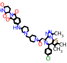 Cc1sc2c(c1C)C(c1ccc(Cl)cc1)=N[C@@H](CC(=O)N1CCC(CN3CCC[C@@H](Nc4ccc5c(c4)C(=O)N(C4CCC(=O)NC4=O)C5=O)C3)CC1)c1nnc(C)n1-2